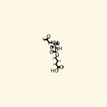 CC(=O)CNS(=O)(=O)NC(=O)OCCCC(=O)O